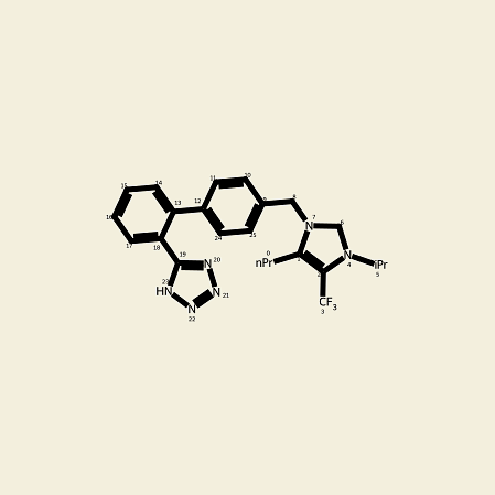 CCCC1=C(C(F)(F)F)N(C(C)C)CN1Cc1ccc(-c2ccccc2-c2nnn[nH]2)cc1